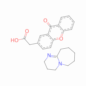 C1CCC2=NCCCN2CC1.O=C(O)Cc1ccc2oc3ccccc3c(=O)c2c1